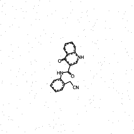 N#CCc1ccccc1NC(=O)c1c[nH]c2ccccc2c1=O